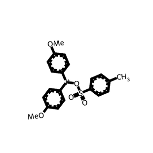 COc1ccc([I+](OS(=O)(=O)c2ccc(C)cc2)c2ccc(OC)cc2)cc1